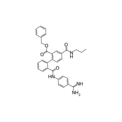 CCCNC(=O)c1ccc(-c2ccccc2C(=O)Nc2ccc(C(=N)N)cc2)c(C(=O)OCc2ccccc2)c1